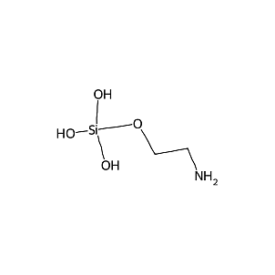 NCCO[Si](O)(O)O